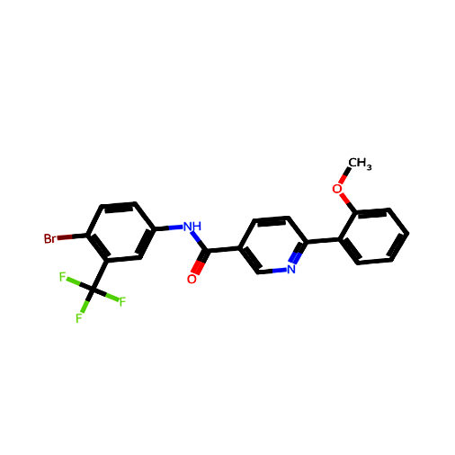 COc1ccccc1-c1ccc(C(=O)Nc2ccc(Br)c(C(F)(F)F)c2)cn1